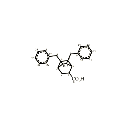 O=C(O)C1CC2CCC1C(Cc1ccccc1)C2Cc1ccccc1